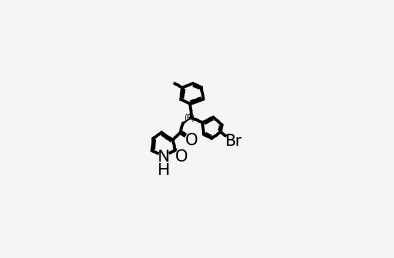 Cc1cccc([C@H](CC(=O)c2ccc[nH]c2=O)c2ccc(Br)cc2)c1